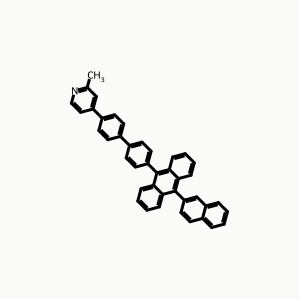 Cc1cc(-c2ccc(-c3ccc(-c4c5ccccc5c(-c5ccc6ccccc6c5)c5ccccc45)cc3)cc2)ccn1